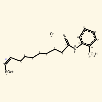 CCCCCCCC/C=C\CCCCCCCC(=O)Nc1ccccc1C(=O)O.[Cr]